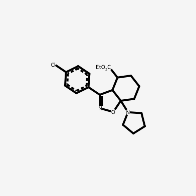 CCOC(=O)C1CCCC2(N3CCCC3)ON=C(c3ccc(Cl)cc3)C12